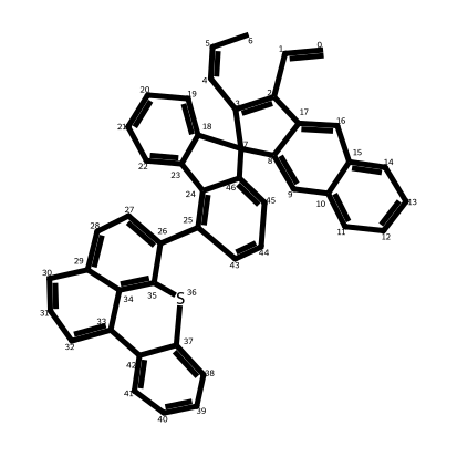 C=CC1=C(/C=C\C)C2(c3cc4ccccc4cc31)c1ccccc1-c1c(-c3ccc4cccc5c4c3Sc3ccccc3-5)cccc12